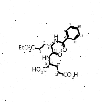 CCOC(=O)CC[C@H](NC(=O)c1ccccc1)C(=O)N[C@@H](CCC(=O)O)C(=O)O